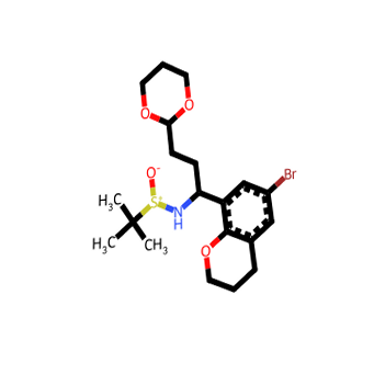 CC(C)(C)[S+]([O-])NC(CCC1OCCCO1)c1cc(Br)cc2c1OCCC2